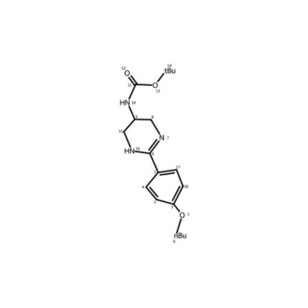 CCCCOc1ccc(C2=NCC(NC(=O)OC(C)(C)C)CN2)cc1